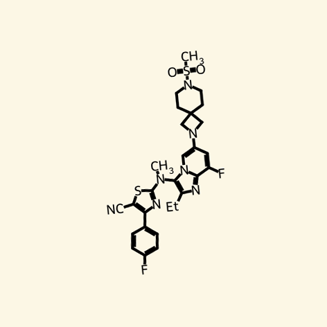 CCc1nc2c(F)cc(N3CC4(CCN(S(C)(=O)=O)CC4)C3)cn2c1N(C)c1nc(-c2ccc(F)cc2)c(C#N)s1